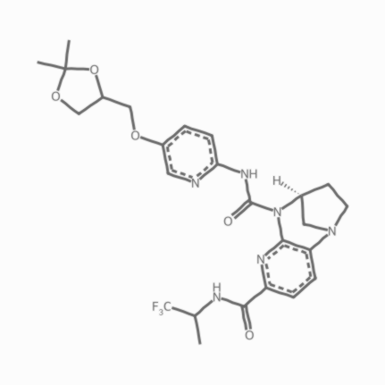 CC(NC(=O)c1ccc2c(n1)N(C(=O)Nc1ccc(OCC3COC(C)(C)O3)cn1)[C@H]1CCN2C1)C(F)(F)F